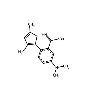 CCCCC(=N)c1cc(N(C)C)ccc1C1=C(C)C=C(C)C1